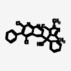 Cc1nn(C)c(C)c1C(O)(c1ccccc1)c1ccc2nc(Cl)c(-c3ccccc3)c(Cl)c2c1